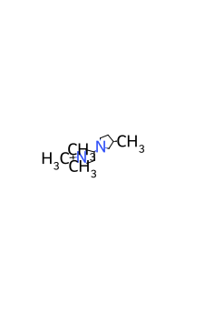 C[C@@H]1CCN([C@H]2CCN(C(C)(C)C)C2)C1